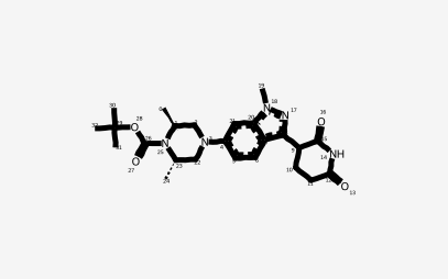 C[C@H]1CN(c2ccc3c(C4CCC(=O)NC4=O)nn(C)c3c2)C[C@H](C)N1C(=O)OC(C)(C)C